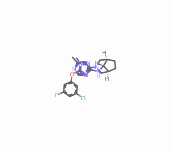 Cc1cc(N2C[C@H]3CC[C@@H](C2)[C@@H]3Nc2nc(Oc3cc(F)cc(Cl)c3)n(C)n2)ncn1